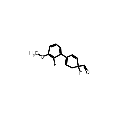 COc1cccc(C2=CCC(F)(C=O)C=C2)c1F